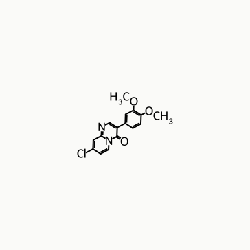 COc1ccc(-c2cnc3cc(Cl)ccn3c2=O)cc1OC